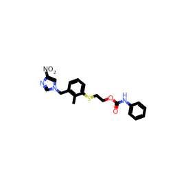 Cc1c(Cn2cnc([N+](=O)[O-])c2)cccc1SCCOC(=O)Nc1ccccc1